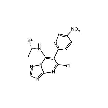 CC(C)[C@@H](C)Nc1c(-c2ccc([N+](=O)[O-])cn2)c(Cl)nc2ncnn12